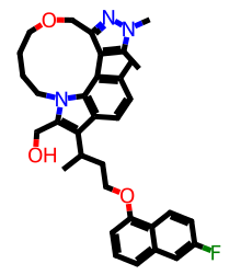 Cc1ccc2c(C(C)CCOc3cccc4cc(F)ccc34)c(CO)n3c2c1-c1c(nn(C)c1C)COCCCC3